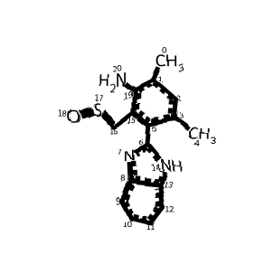 Cc1cc(C)c(-c2nc3ccccc3[nH]2)c(C=S=O)c1N